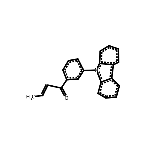 C/C=C/C(=O)c1cccc(-n2c3ccccc3c3ccccc32)c1